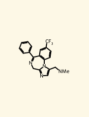 CNCc1cnc2n1-c1ccc(C(F)(F)F)cc1C(c1ccccc1)=NC2